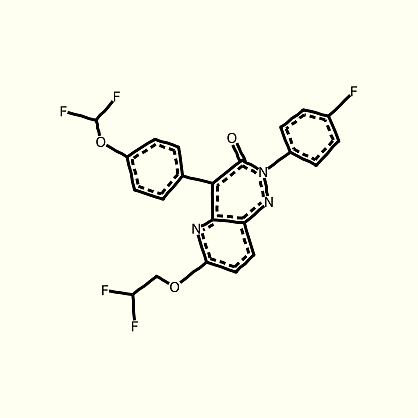 O=c1c(-c2ccc(OC(F)F)cc2)c2nc(OCC(F)F)ccc2nn1-c1ccc(F)cc1